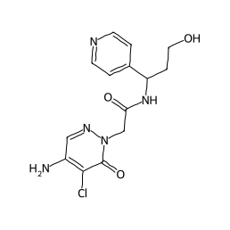 Nc1cnn(CC(=O)NC(CCO)c2ccncc2)c(=O)c1Cl